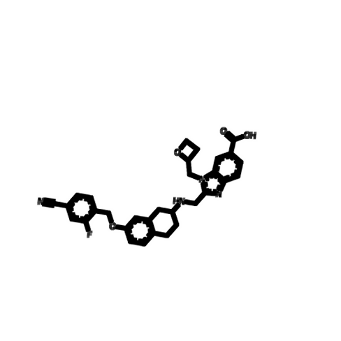 N#Cc1ccc(COc2ccc3c(c2)CC(NCc2nc4ccc(C(=O)O)cc4n2CC2CCO2)CC3)c(F)c1